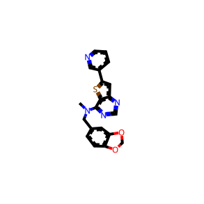 CN(Cc1ccc2c(c1)OCO2)c1ncnc2cc(-c3cccnc3)sc12